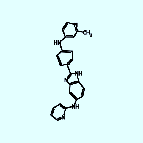 Cc1cc(Nc2ccc(-c3nc4cc(Nc5ccccn5)ccc4[nH]3)cc2)ccn1